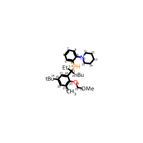 CCCCC(CC)(Pc1ccccc1N1CCCCC1)c1cc(C(C)(C)C)cc(C)c1OCOC